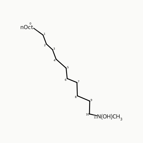 CCCCCCCCCCCCCCCCCCN(C)O